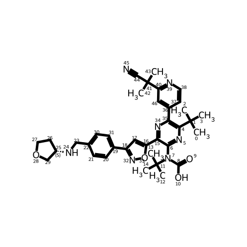 CC(C)(C)c1nc(N(C(=O)O)C(C)(C)C)c(-c2cc(-c3ccc(CN[C@H]4CCOC4)cc3)no2)nc1-c1ccnc(C(C)(C)C#N)c1